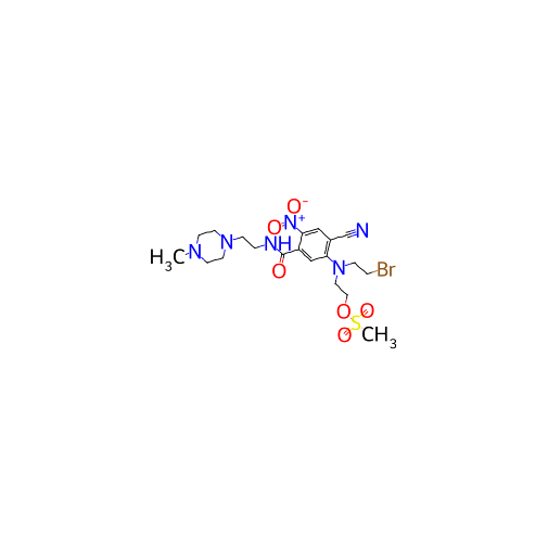 CN1CCN(CCNC(=O)c2cc(N(CCBr)CCOS(C)(=O)=O)c(C#N)cc2[N+](=O)[O-])CC1